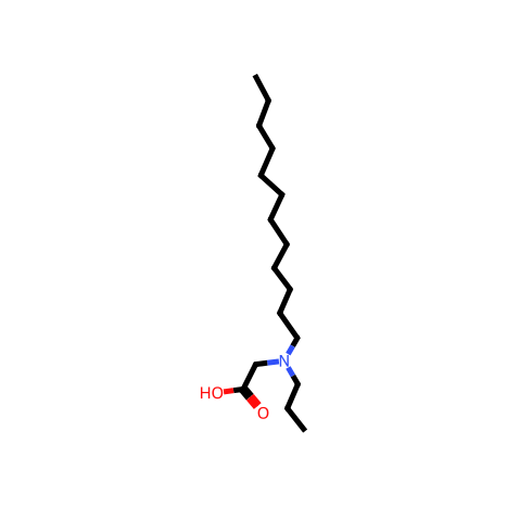 CCCCCCCCCCCCN(CCC)CC(=O)O